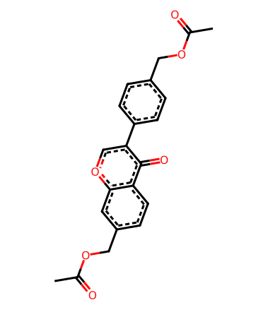 CC(=O)OCc1ccc(-c2coc3cc(COC(C)=O)ccc3c2=O)cc1